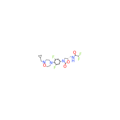 O=C(NC[C@H]1CN(c2cc(F)c(N3CCON(CC4CC4)CC3)c(F)c2)C(=O)O1)C(F)F